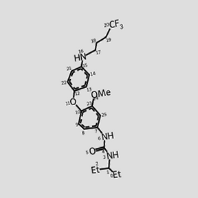 CCC(CC)NC(=O)Nc1ccc(Oc2ccc(NCCCC(F)(F)F)cc2)c(OC)c1